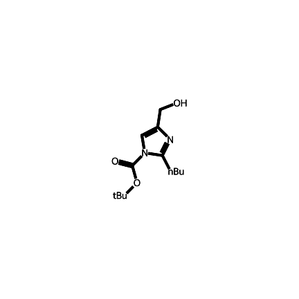 CCCCc1nc(CO)cn1C(=O)OC(C)(C)C